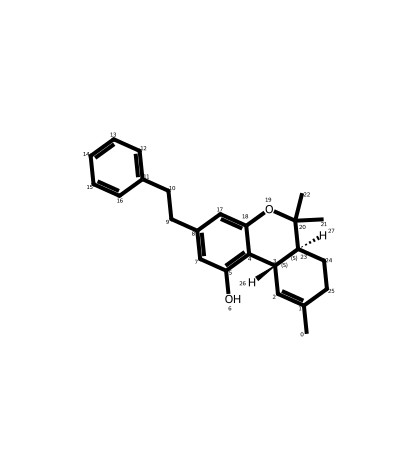 CC1=C[C@@H]2c3c(O)cc(CCc4ccccc4)cc3OC(C)(C)[C@H]2CC1